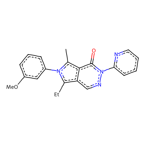 CCc1c2cnn(-c3ccccn3)c(=O)c2c(C)n1-c1cccc(OC)c1